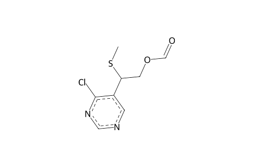 CSC(COC=O)c1cncnc1Cl